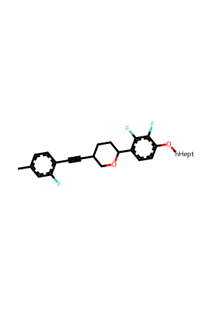 CCCCCCCOc1ccc(C2CCC(C#Cc3ccc(C)cc3F)CO2)c(F)c1F